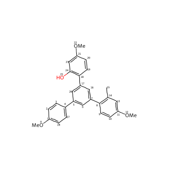 COc1ccc(-c2cc(-c3ccc(OC)cc3C)cc(-c3ccc(OC)cc3O)c2)cc1